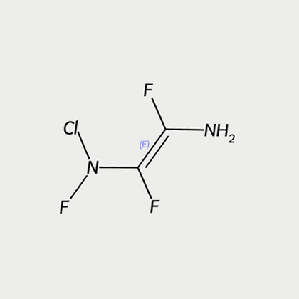 N/C(F)=C(\F)N(F)Cl